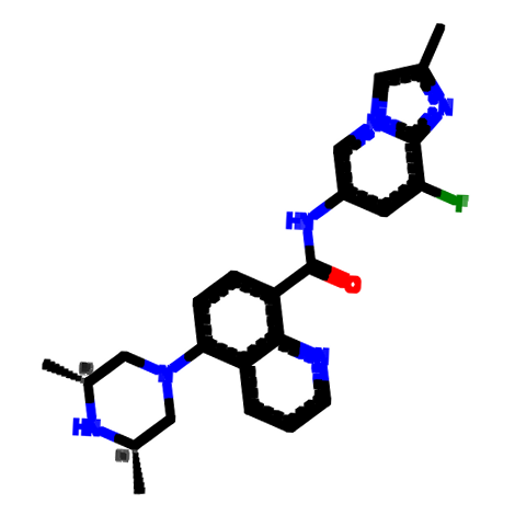 Cc1cn2cc(NC(=O)c3ccc(N4C[C@@H](C)N[C@@H](C)C4)c4cccnc34)cc(F)c2n1